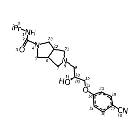 CC(C)NC(=O)N1CC2CN(C[C@H](O)COc3ccc(C#N)cc3)CC2C1